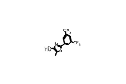 Cc1sc(-c2cc(C(F)(F)F)cc(C(F)(F)F)c2)nc1O